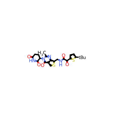 Cc1nc2c(CNC(=O)C(=O)c3ccc(C(C)(C)C)s3)scc2c(=O)n1C1CCC(=O)NC1=O